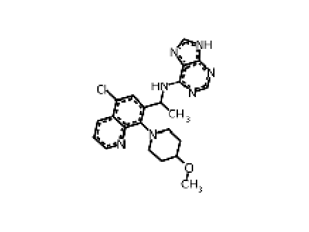 COC1CCN(c2c(C(C)Nc3ncnc4[nH]cnc34)cc(Cl)c3cccnc23)CC1